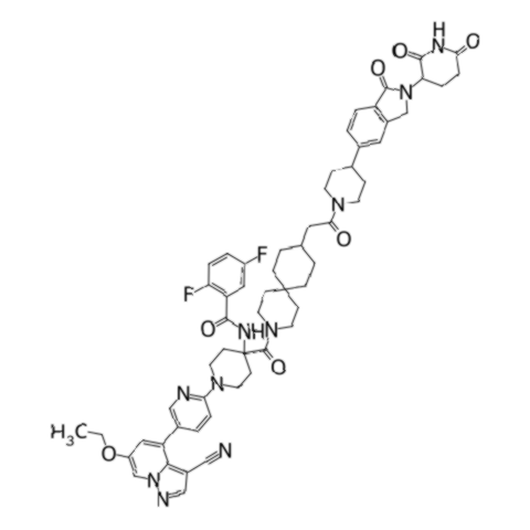 CCOc1cc(-c2ccc(N3CCC(NC(=O)c4cc(F)ccc4F)(C(=O)N4CCC5(CCC(CC(=O)N6CCC(c7ccc8c(c7)CN(C7CCC(=O)NC7=O)C8=O)CC6)CC5)CC4)CC3)nc2)c2c(C#N)cnn2c1